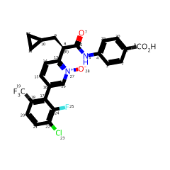 O=C(O)c1ccc(NC(=O)[C@H](CC2CC2)c2ccc(-c3c(C(F)(F)F)ccc(Cl)c3F)c[n+]2[O-])cc1